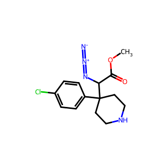 COC(=O)C(N=[N+]=[N-])C1(c2ccc(Cl)cc2)CCNCC1